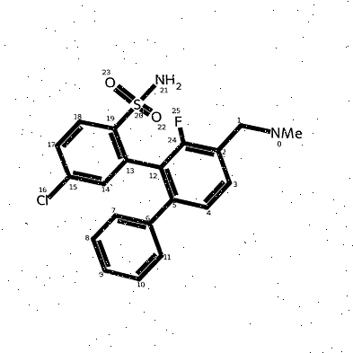 CNCc1ccc(-c2ccccc2)c(-c2cc(Cl)ccc2S(N)(=O)=O)c1F